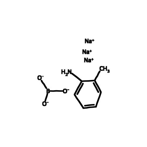 Cc1ccccc1N.[Na+].[Na+].[Na+].[O-]B([O-])[O-]